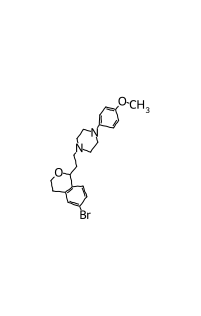 COc1ccc(N2CCN(CCC3OCCc4cc(Br)ccc43)CC2)cc1